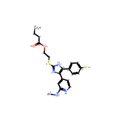 CC(C)Nc1cc(-c2nc(SCCOC(=O)CCC(=O)O)[nH]c2-c2ccc(F)cc2)ccn1